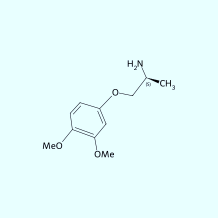 COc1ccc(OC[C@H](C)N)cc1OC